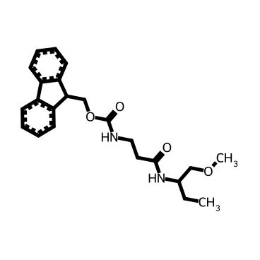 CCC(COC)NC(=O)CCNC(=O)OCC1c2ccccc2-c2ccccc21